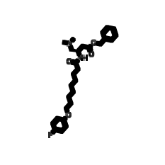 CN(C)C[C@@H](CC(=O)OCc1ccccc1)NC(=O)CCCCCCCCOc1ccc(F)cc1